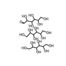 O=CC(O)C(O)C(O)C(O)CO.OCC(O)C(O)C(O)C(O)CO.OCC(O)C(O)C(O)C(O)CO